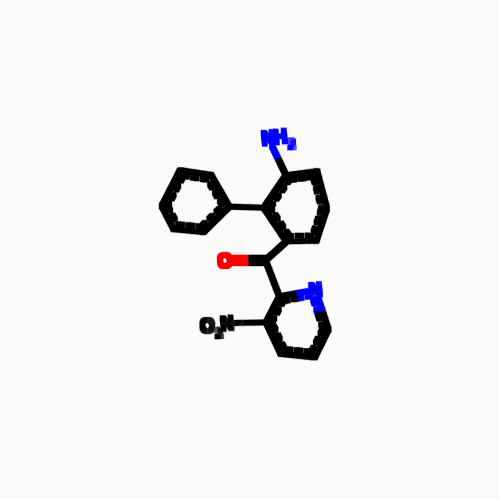 Nc1cccc(C(=O)c2ncccc2[N+](=O)[O-])c1-c1ccccc1